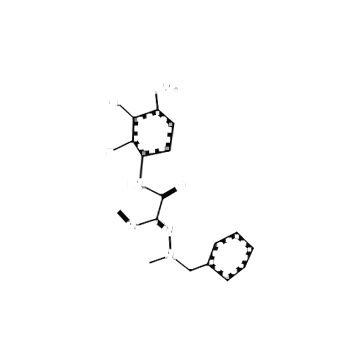 C=N/C(=N\N(C)Cc1ccccc1)C(=O)Nc1ccc(OC)c(Cl)c1F